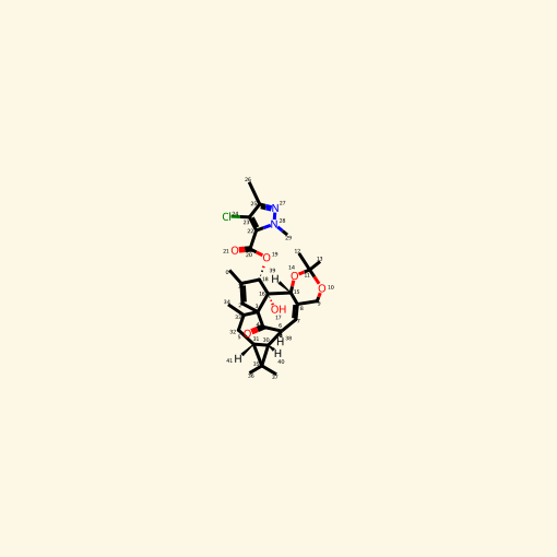 CC1=CC23C(=O)[C@@H](C=C4COC(C)(C)O[C@H]4[C@]2(O)[C@H]1OC(=O)c1c(Cl)c(C)nn1C)[C@H]1[C@@H](CC3C)C1(C)C